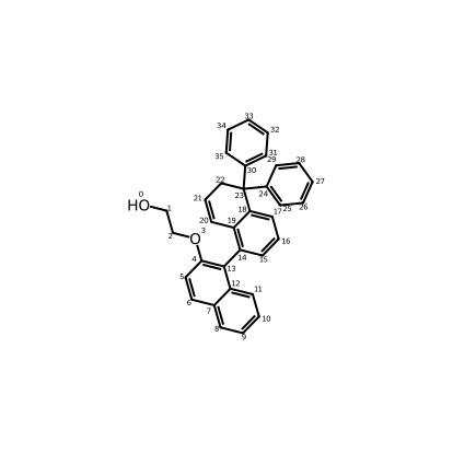 OCCOc1ccc2ccccc2c1-c1cccc2c1C=CCC2(c1ccccc1)c1ccccc1